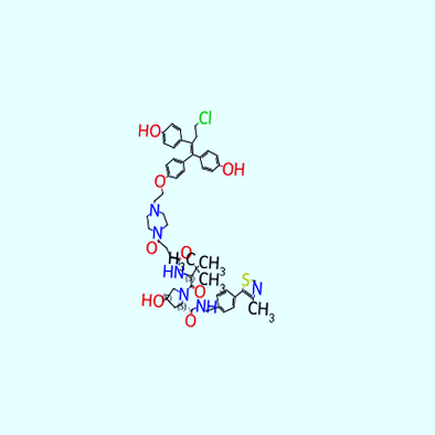 Cc1ncsc1-c1ccc(CNC(=O)[C@@H]2C[C@@H](O)CN2C(=O)[C@@H](NC(=O)CCC(=O)N2CCN(CCOc3ccc(C(=C(CCCl)c4ccc(O)cc4)c4ccc(O)cc4)cc3)CC2)C(C)(C)C)cc1